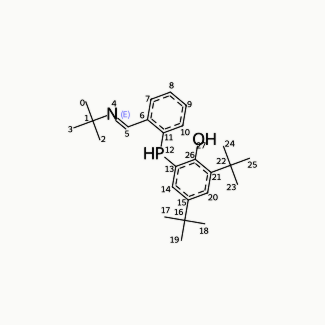 CC(C)(C)/N=C/c1ccccc1Pc1cc(C(C)(C)C)cc(C(C)(C)C)c1O